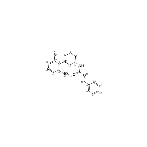 O=C(N[C@H]1CCCN(c2c(Br)cncc2[N+](=O)[O-])C1)OCc1ccccc1